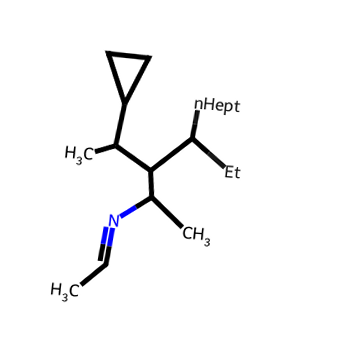 C/C=N/C(C)C(C(CC)CCCCCCC)C(C)C1CC1